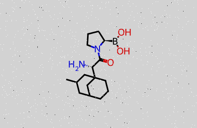 CC1CC2CCCC([C@H](N)C(=O)N3CCC[C@H]3B(O)O)(C1)C2